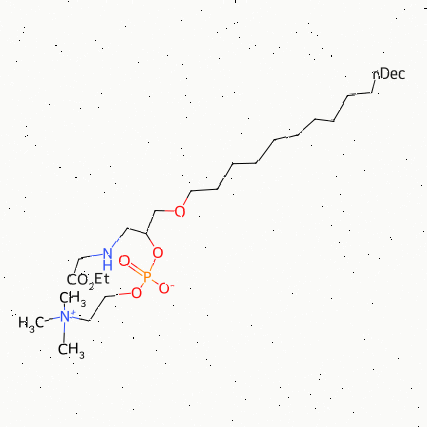 CCCCCCCCCCCCCCCCCCCCOCC(CNCC(=O)OCC)OP(=O)([O-])OCC[N+](C)(C)C